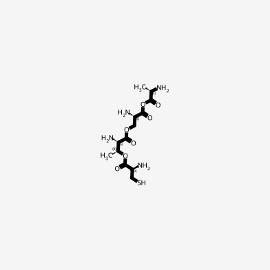 C[C@H](N)C(=O)OC(=O)[C@@H](N)COC(=O)[C@@H](N)[C@@H](C)OC(=O)[C@@H](N)CS